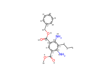 CCCc1c(N)c(C(=O)OC)cc(C(=O)OCc2ccccc2)c1N